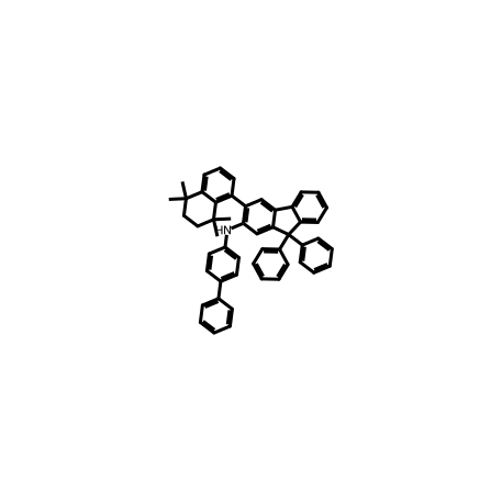 CC1(C)CCC(C)(C)c2c(-c3cc4c(cc3Nc3ccc(-c5ccccc5)cc3)C(c3ccccc3)(c3ccccc3)c3ccccc3-4)cccc21